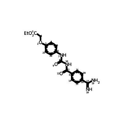 CCOC(=O)COc1ccc(NC(=O)NC(=O)c2ccc(C(=N)N)cc2)cc1